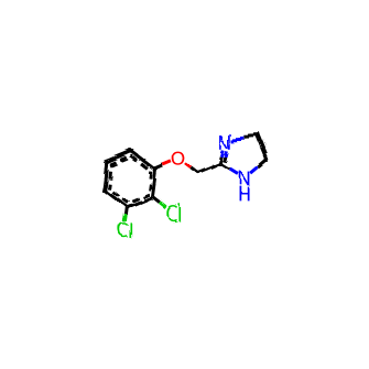 Clc1cccc(OCC2=NCCN2)c1Cl